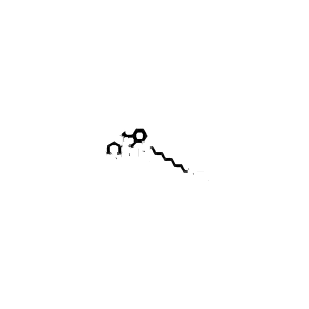 C=C1c2c(OCCCCCCCCN)cccc2C(=O)N1C1CCC(=O)NC1=O